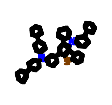 c1ccc(-c2ccc(N(c3ccc(-c4ccccc4)cc3)c3cccc(-c4cc5c6ccccc6n(-c6cccc(-c7ccccc7)c6)c5c5c4sc4ccccc45)c3)cc2)cc1